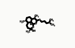 C[C@H]1C(OCCCN(C)C)O[C@]23C[C@]24C1CC[C@@H](C)C4CC[C@@](C)(O)O3